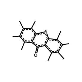 Cc1c(C)c(C)c2c(=O)c3c(C)c(C)c(C)c(C)c3sc2c1C